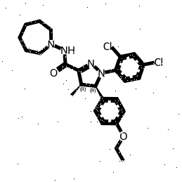 CCOc1ccc([C@H]2[C@@H](C)C(C(=O)NN3CCCCCC3)=NN2c2ccc(Cl)cc2Cl)cc1